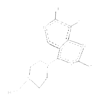 O=C(O)N1CCN(c2nc(Cl)nc3c(F)c(Cl)ncc23)CC1